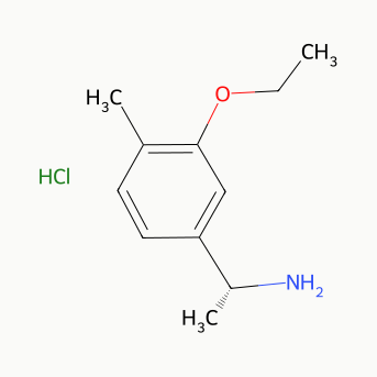 CCOc1cc([C@@H](C)N)ccc1C.Cl